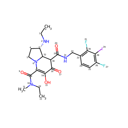 CCN[C@H]1CCN2C(C(=O)N(C)CC)=C(O)C(=O)C(C(=O)NCc3ccc(F)c(I)c3F)C12